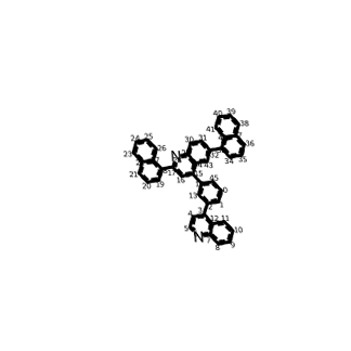 c1cc(-c2ccnc3ccccc23)cc(-c2cc(-c3cccc4ccccc34)nc3ccc(-c4cccc5ccccc45)cc23)c1